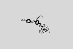 CCOc1cc(CNC(=O)OC(C)(C)C)cnc1OCc1ccc(C)nc1